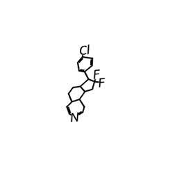 FC1(F)CC2C3CC=NC=CC3CCC2C1c1ccc(Cl)cc1